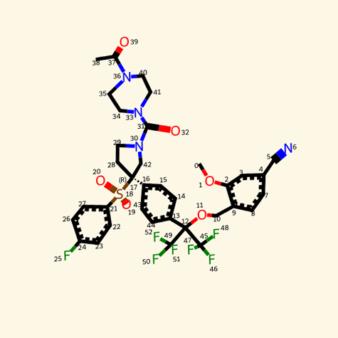 COc1cc(C#N)ccc1COC(c1ccc([C@]2(S(=O)(=O)c3ccc(F)cc3)CCN(C(=O)N3CCN(C(C)=O)CC3)C2)cc1)(C(F)(F)F)C(F)(F)F